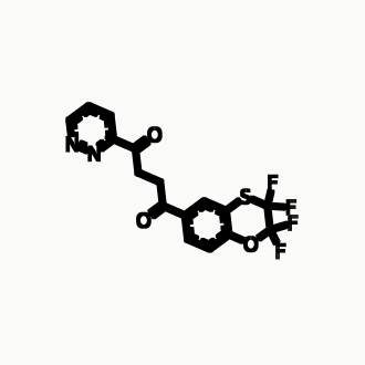 O=C(CCC(=O)c1cccnn1)c1ccc2c(c1)SC(F)(F)C(F)(F)O2